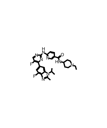 CCN1CCC(NC(=O)c2ccc(Nc3ncc(F)c(-c4cc(F)c5nc(C)n(C(C)C)c5c4)n3)nc2)CC1